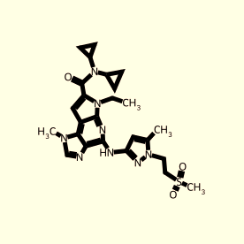 CCn1c(C(=O)N(C2CC2)C2CC2)cc2c3c(ncn3C)c(Nc3cc(C)n(CCS(C)(=O)=O)n3)nc21